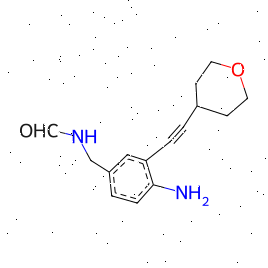 Nc1ccc(CNC=O)cc1C#CC1CCOCC1